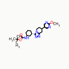 COc1ncc(C2CCn3c(nnc3[C@H]3CCCC(NC(=O)OC(C)(C)C)C3)C2)cn1